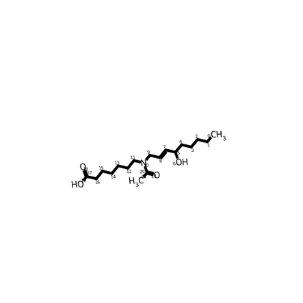 CCCCCC(O)C=CCN(CCCCCCC(=O)O)C(C)=O